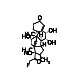 C[C@@H]1C[C@H]2[C@@H]3[C@@H](O)[C@@H](O)C4=CC(=O)CC[C@]4(C)[C@@]3(F)[C@@H](O)C[C@]2(C)[C@@]1(O)C(=O)CF